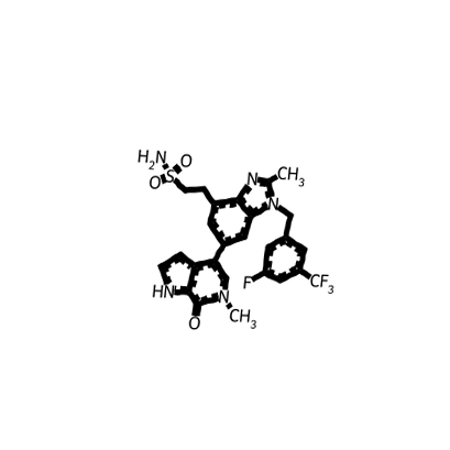 Cc1nc2c(CCS(N)(=O)=O)cc(-c3cn(C)c(=O)c4[nH]ccc34)cc2n1Cc1cc(F)cc(C(F)(F)F)c1